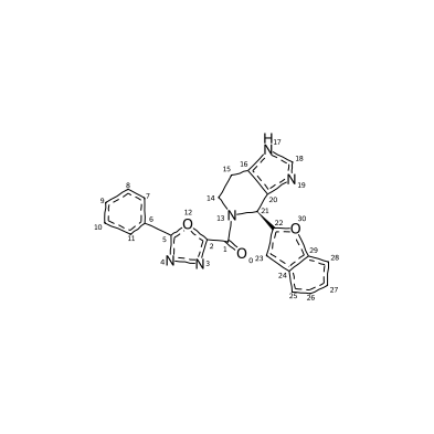 O=C(c1nnc(-c2ccccc2)o1)N1CCc2[nH]cnc2[C@H]1c1cc2ccccc2o1